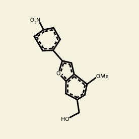 COc1cc(CO)cc2oc(-c3ccc([N+](=O)[O-])cc3)cc12